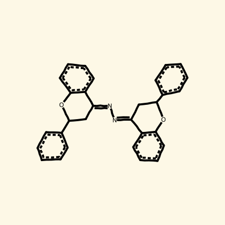 c1ccc(C2CC(=NN=C3CC(c4ccccc4)Oc4ccccc43)c3ccccc3O2)cc1